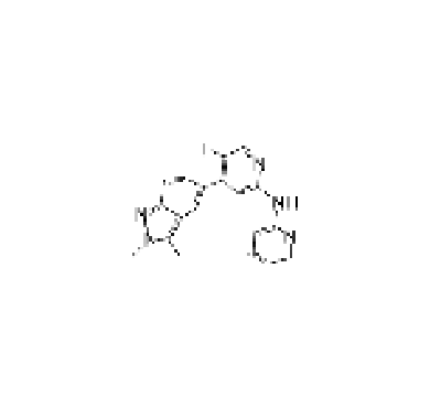 Cc1c2cc(-c3cc(Nc4c[c]ccn4)ncc3F)ccc2nn1C